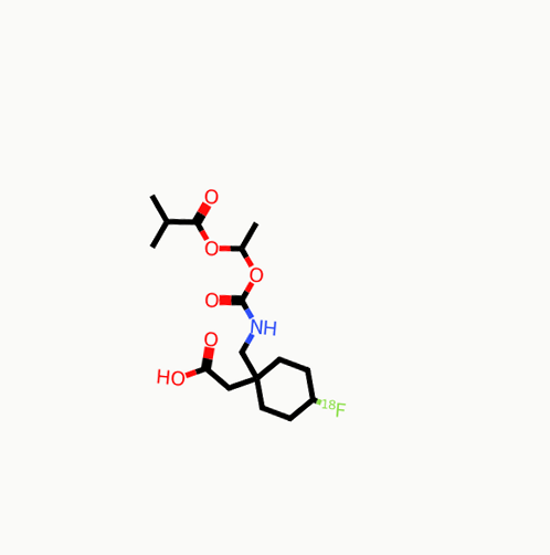 CC(OC(=O)NCC1(CC(=O)O)CCC([18F])CC1)OC(=O)C(C)C